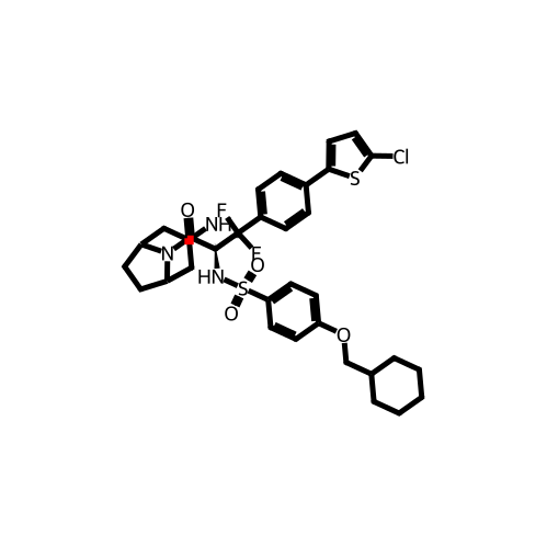 NC1CC2CCC(C1)N2C(=O)[C@H](NS(=O)(=O)c1ccc(OCC2CCCCC2)cc1)C(F)(F)c1ccc(-c2ccc(Cl)s2)cc1